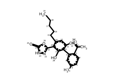 C=C(C)c1ccc(C)cc1-c1c(O)cc(CCCCC)c(-c2n[nH]c(=O)o2)c1O